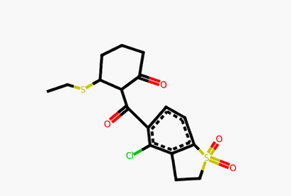 CCSC1CCCC(=O)C1C(=O)c1ccc2c(c1Cl)CCS2(=O)=O